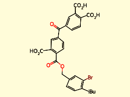 CCC(C)c1ccc(COC(=O)c2ccc(C(=O)c3ccc(C(=O)O)c(C(=O)O)c3)cc2C(=O)O)cc1Br